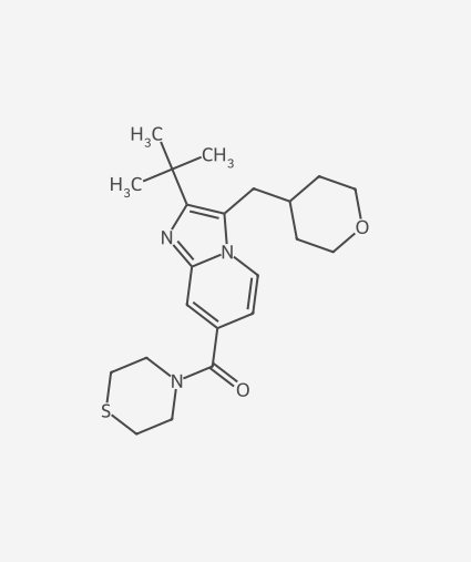 CC(C)(C)c1nc2cc(C(=O)N3CCSCC3)ccn2c1CC1CCOCC1